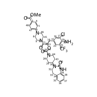 COC(=O)c1ccc(N2CCN(C(=O)[C@@H](Cc3cc(Cl)c(N)c(C(F)(F)F)c3)OC(=O)N3CCC(N4CCc5ccccc5NC4=O)CC3)CC2)cc1